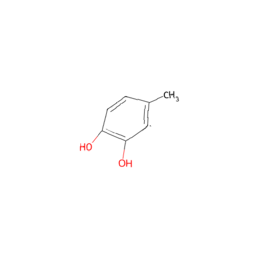 Cc1[c]c(O)c(O)cc1